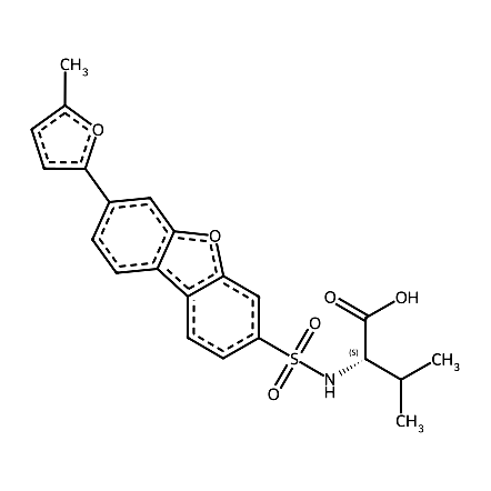 Cc1ccc(-c2ccc3c(c2)oc2cc(S(=O)(=O)N[C@H](C(=O)O)C(C)C)ccc23)o1